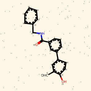 O=Cc1cc(-c2cccc(C(=O)NCc3ccccc3)c2)ccc1O